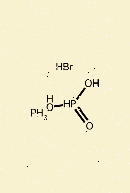 Br.O=[PH](O)O.P